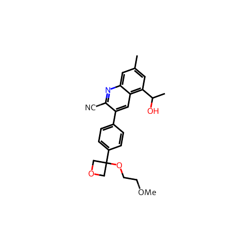 COCCOC1(c2ccc(-c3cc4c(C(C)O)cc(C)cc4nc3C#N)cc2)COC1